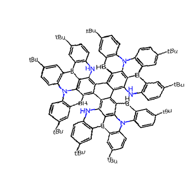 CC(C)(C)c1ccc2c(c1)Bc1c3c4c(c5c1c1c6c7c8c(c1c1c9c%10c%11c(c51)Bc1cc(C(C)(C)C)ccc1N%11c1ccc(C(C)(C)C)cc1B%10c1cc(C(C)(C)C)ccc1N9)Bc1cc(C(C)(C)C)ccc1N8c1ccc(C(C)(C)C)cc1B7c1cc(C(C)(C)C)ccc1N6)Nc1ccc(C(C)(C)C)cc1B4c1cc(C(C)(C)C)ccc1N23